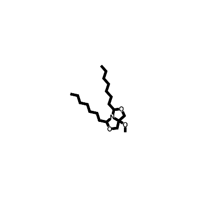 CCCCCCCC1OCC2(OC)COC(CCCCCCC)N12